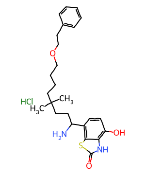 CC(C)(CCCCOCCc1ccccc1)CCC(N)c1ccc(O)c2[nH]c(=O)sc12.Cl